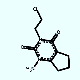 Nn1c2c(c(=O)n(CCCl)c1=O)CCC2